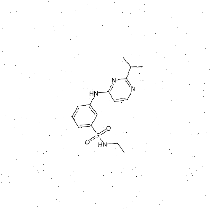 CCNS(=O)(=O)c1cccc(Nc2ccnc(C(C)C)n2)c1